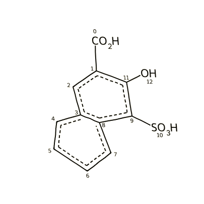 O=C(O)c1cc2ccccc2c(S(=O)(=O)O)c1O